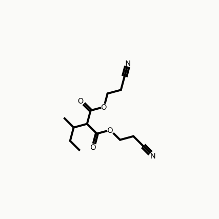 CCC(C)C(C(=O)OCCC#N)C(=O)OCCC#N